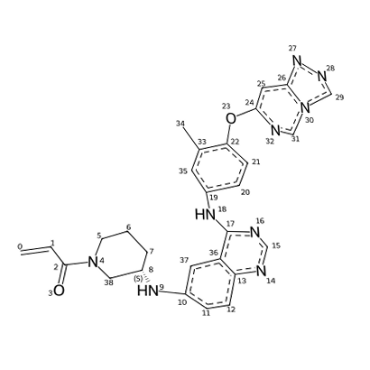 C=CC(=O)N1CCC[C@H](Nc2ccc3ncnc(Nc4ccc(Oc5cc6nncn6cn5)c(C)c4)c3c2)C1